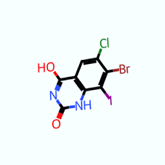 O=c1nc(O)c2cc(Cl)c(Br)c(I)c2[nH]1